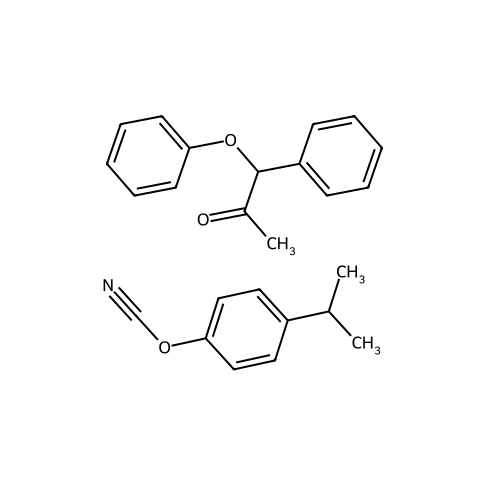 CC(=O)C(Oc1ccccc1)c1ccccc1.CC(C)c1ccc(OC#N)cc1